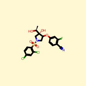 C[C@H](O)[C@]1(O)CN(S(=O)(=O)c2ccc(Cl)cc2Cl)CC1Oc1ccc(C#N)c(F)c1